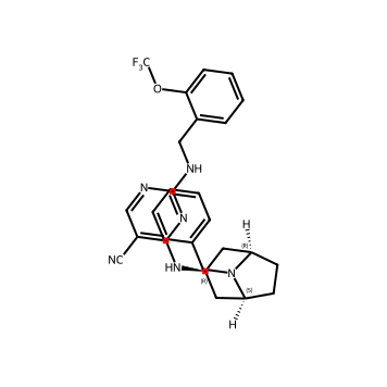 N#Cc1cnc(NCc2ccccc2OC(F)(F)F)nc1N[C@H]1C[C@H]2CC[C@@H](C1)N2Cc1ccccc1